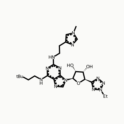 CCn1nnc([C@H]2O[C@@H](n3cnc4c(NCCC(C)(C)C)nc(NCCc5cn(C)cn5)nc43)[C@H](O)[C@@H]2O)n1